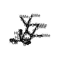 COCCOCCOCCOc1cc(COc2cc(CNCCCCNC(=O)C(CCCNC(=O)c3ccc4cccnc4c3O)(CCCNC(=O)c3ccc4cccnc4c3O)CCCNC(=O)c3ccc4cccnc4c3O)cc(OCc3cc(OCCOCCOCCOC)c(OCCOCCOCCOC)c(OCCOCCOCCOC)c3)c2)cc(OCCOCCOCCOC)c1OCCOCCOCCOC